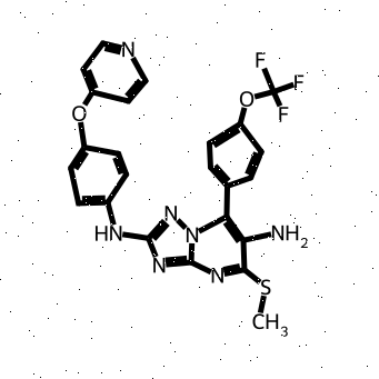 CSc1nc2nc(Nc3ccc(Oc4ccncc4)cc3)nn2c(-c2ccc(OC(F)(F)F)cc2)c1N